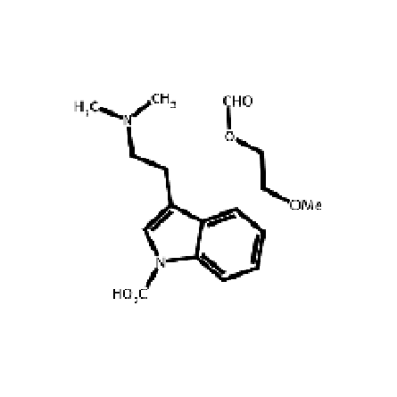 CN(C)CCc1cn(C(=O)O)c2ccccc12.COCCOC=O